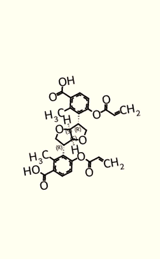 C=CC(=O)Oc1ccc(C(=O)O)c(C)c1[C@@H]1CO[C@@H]2[C@H]1OC[C@H]2c1c(OC(=O)C=C)ccc(C(=O)O)c1C